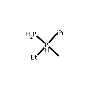 CC[PH](C)(P)C(C)C